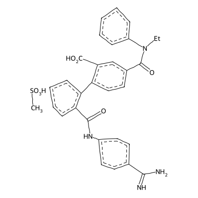 CCN(C(=O)c1ccc(-c2ccccc2C(=O)Nc2ccc(C(=N)N)cc2)c(C(=O)O)c1)c1ccccc1.CS(=O)(=O)O